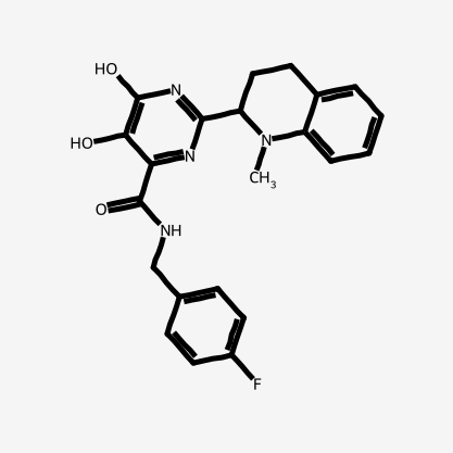 CN1c2ccccc2CCC1c1nc(O)c(O)c(C(=O)NCc2ccc(F)cc2)n1